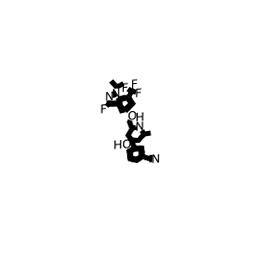 CC1CC(O)(c2cccc(C#N)c2)CC(COc2cc(C(F)(F)F)c3c(c2)c(F)nn3C(C)C)N1